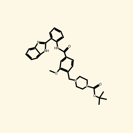 COc1cc(C(=O)Nc2ccccc2-c2nc3ccccc3[nH]2)ccc1CN1CCN(C(=O)OC(C)(C)C)CC1